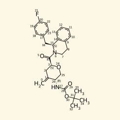 C=C1C[C@@H](C(=O)N2CCc3ccccc3[C@@H]2Cc2ccc(F)cc2)OC[C@@H]1NC(=O)OC(C)(C)C